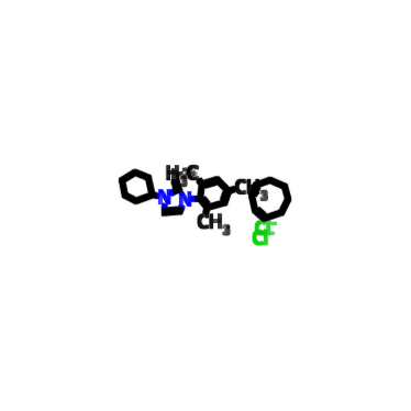 C1=C\CCCC\C=C/1.Cc1cc(C)c(-n2ccn(C3CCCCC3)[c]2=[Ir+2])c(C)c1.[Cl-].[Cl-]